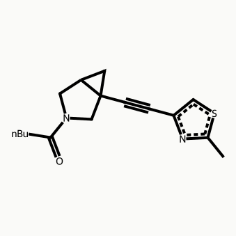 CCCCC(=O)N1CC2CC2(C#Cc2csc(C)n2)C1